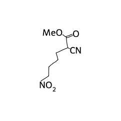 COC(=O)C(C#N)CCCCC[N+](=O)[O-]